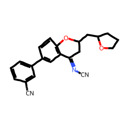 N#CN=C1CC(CC2CCCO2)Oc2ccc(-c3cccc(C#N)c3)cc21